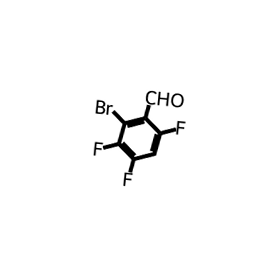 O=Cc1c(F)cc(F)c(F)c1Br